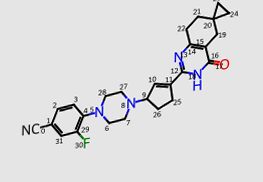 N#Cc1ccc(N2CCN(C3C=C(c4nc5c(c(=O)[nH]4)CC4(CC5)CC4)CC3)CC2)c(F)c1